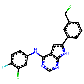 Fc1ccc(Nc2ncnc3[nH]c(-c4cccc(CCl)c4)cc23)cc1Cl